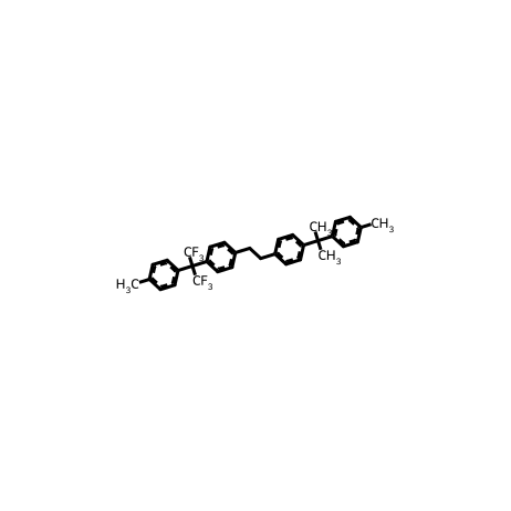 Cc1ccc(C(C)(C)c2ccc(CCc3ccc(C(c4ccc(C)cc4)(C(F)(F)F)C(F)(F)F)cc3)cc2)cc1